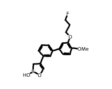 COc1ccc(-c2cccc(C3=COB(O)C3)c2)cc1OCCCF